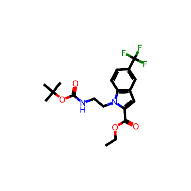 CCOC(=O)c1cc2cc(C(F)(F)F)ccc2n1CCNC(=O)OC(C)(C)C